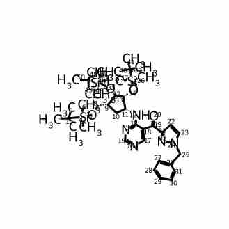 CC(C)(C)[Si](C)(C)OC[C@H]1C[C@@H](Nc2ncncc2C(=O)c2ccn(Cc3ccccc3)n2)[C@@H](O[Si](C)(C)C(C)(C)C)[C@@H]1O[Si](C)(C)C(C)(C)C